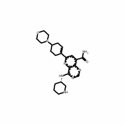 NC(=O)c1cc(C2=CCC(N3CCOCC3)CC2)nc2c(N[C@H]3CCCNC3)ncnc12